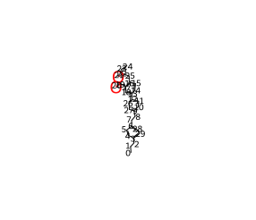 CCCc1ccc(CCC2CCC(c3ccc4c(c3)C(=O)OC(CC)C4)CC2)cc1